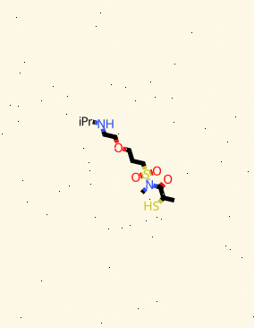 CC(C)NCCOCCCS(=O)(=O)N(C)C(=O)C(C)S